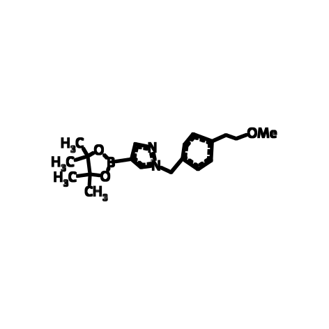 COCCc1ccc(Cn2cc(B3OC(C)(C)C(C)(C)O3)cn2)cc1